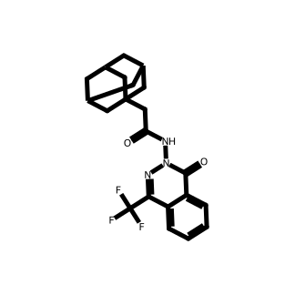 O=C(CC12CC3CC(CC(C3)C1)C2)Nn1nc(C(F)(F)F)c2ccccc2c1=O